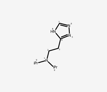 CC(C)N(CCc1nnc[nH]1)C(C)C